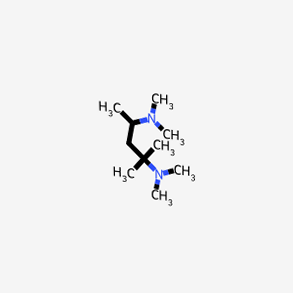 CC(CC(C)(C)N(C)C)N(C)C